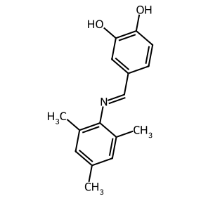 Cc1cc(C)c(N=Cc2ccc(O)c(O)c2)c(C)c1